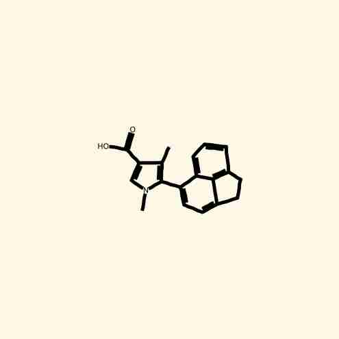 Cc1c(C(=O)O)cn(C)c1-c1ccc2c3c(cccc13)CC2